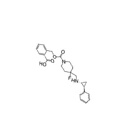 O=C(O)c1ccccc1COC(=O)N1CCC(F)(CN[C@@H]2C[C@H]2c2ccccc2)CC1